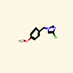 COc1ccc(Cn2cnc(Br)c2)cc1